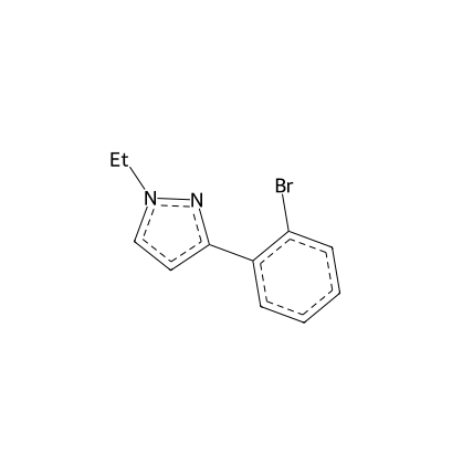 CCn1ccc(-c2ccccc2Br)n1